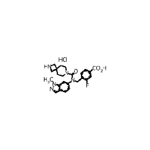 Cl.Cn1ncc2ccc(N(Cc3ccc(C(=O)O)cc3F)C(=O)N3CCC4(CC3)CNC4)cc21